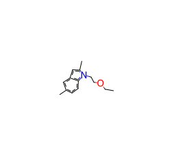 CCOCCn1c(C)cc2cc(C)ccc21